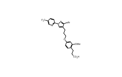 CCCc1nn(-c2ccc(C(F)(F)F)cn2)cc1CCCOc1ccc(CCC(=O)O)c(OC)c1